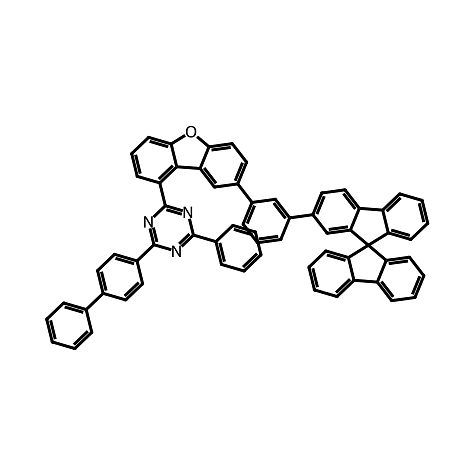 c1ccc(-c2ccc(-c3nc(-c4ccccc4)nc(-c4cccc5oc6ccc(-c7cccc(-c8ccc9c(c8)C8(c%10ccccc%10-c%10ccccc%108)c8ccccc8-9)c7)cc6c45)n3)cc2)cc1